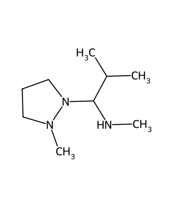 CNC(C(C)C)N1CCCN1C